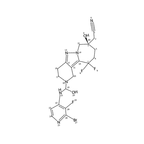 N#CC[C@]1(O)CCC(F)(F)c2c3c(nn2C1)CCN(C(O)Nc1ccnc(Br)c1F)C3